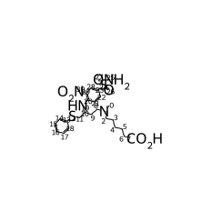 CN(CCCCCC(=O)O)CCC(CSc1ccccc1)Nc1ccc(S(N)(=O)=O)cc1[N+](=O)[O-]